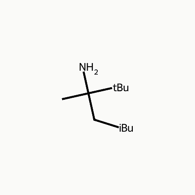 CCC(C)CC(C)(N)C(C)(C)C